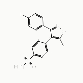 Cc1onc(-c2ccc(F)cc2)c1-c1ccc(S(N)(=O)=O)cc1